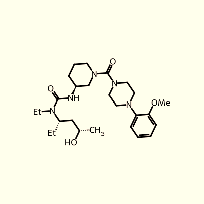 CC[C@@H](C[C@H](C)O)N(CC)C(=O)N[C@H]1CCCN(C(=O)N2CCN(c3ccccc3OC)CC2)C1